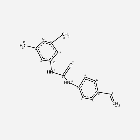 C=Cc1ccc(NC(=O)Nc2cc(C)cc(C(F)(F)F)c2)cc1